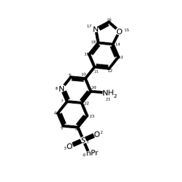 CCCS(=O)(=O)c1ccc2ncc(-c3ccc4ocnc4c3)c(N)c2c1